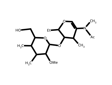 CCC1OC=C(N(C)C(C)=O)C(C)C1OC1OC(CO)C(C)C(C)C1OC